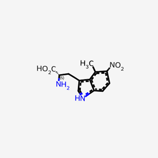 Cc1c([N+](=O)[O-])ccc2[nH]cc(C[C@H](N)C(=O)O)c12